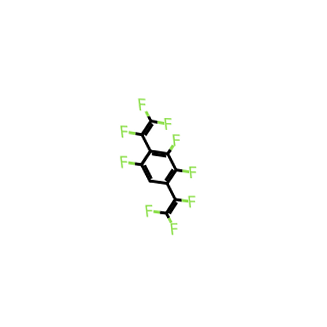 FC(F)=C(F)c1cc(F)c(C(F)=C(F)F)c(F)c1F